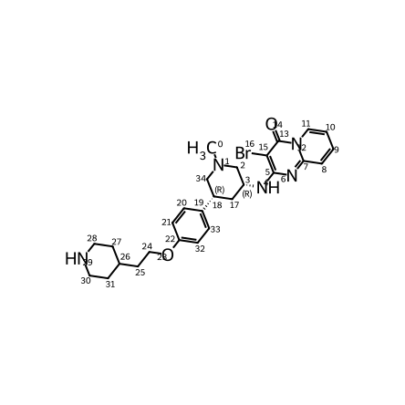 CN1C[C@H](Nc2nc3ccccn3c(=O)c2Br)C[C@H](c2ccc(OCCC3CCNCC3)cc2)C1